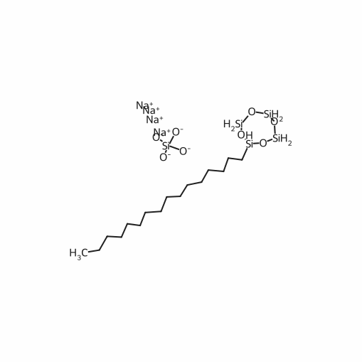 CCCCCCCCCCCCCCCC[SiH]1O[SiH2]O[SiH2]O[SiH2]O1.[Na+].[Na+].[Na+].[Na+].[O-][Si]([O-])([O-])[O-]